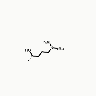 CCCCN(CCCC)CCC[C@H](C)O